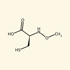 CON[C@@H](CS)C(=O)O